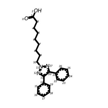 O=C(O)CCCCCCCCn1nc(-c2ccccc2)c(-c2ccccc2)n1